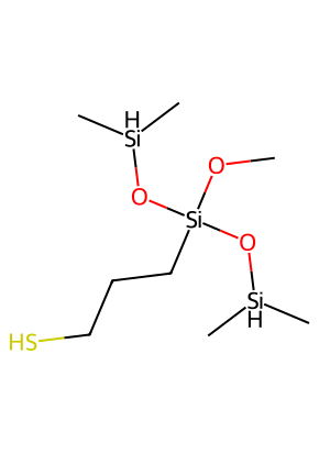 CO[Si](CCCS)(O[SiH](C)C)O[SiH](C)C